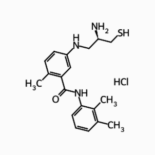 Cc1ccc(NC[C@@H](N)CS)cc1C(=O)Nc1cccc(C)c1C.Cl